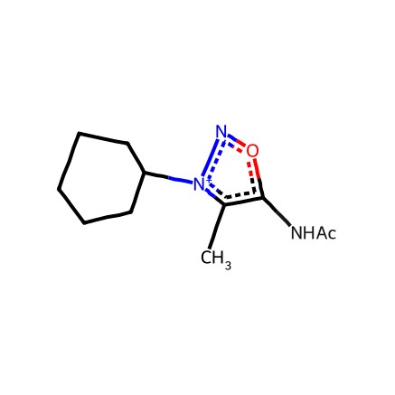 CC(=O)[N-]c1on[n+](C2CCCCC2)c1C